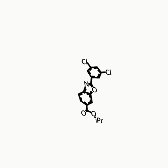 CC(C)OC(=O)c1ccc2nc(-c3cc(Cl)cc(Cl)c3)oc2c1